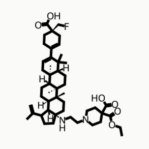 C=C(C)C1CC[C@]2(NCCN3CCC(C(=O)O)(C(=O)OCC)CC3)CC[C@]3(C)[C@H](CC[C@@H]4[C@@]5(C)CC=C(C6=CC[C@@](CF)(C(=O)O)CC6)C(C)(C)[C@@H]5CC[C@]43C)[C@@H]12